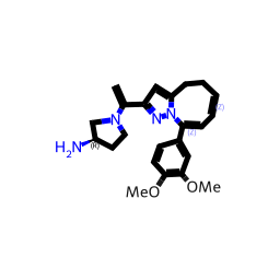 C=C(c1cc2n(n1)/C(c1ccc(OC)c(OC)c1)=C\C=C/CC2)N1CC[C@@H](N)C1